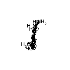 CCn1cc(C(=O)O)c(=O)c2cc(F)c(N3CCN(OCc4ccc(NC(=O)[C@@H](N)CCCNN)cc4)CC3)cc21